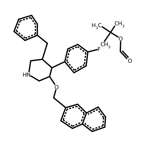 CC(C)(C)OC=O.Fc1ccc(C2C(Cc3ccccc3)CNCC2OCc2ccc3ccccc3c2)cc1